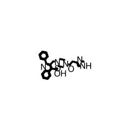 O=C(O)c1c(CN2CCN(C(=O)Cc3c[nH]cn3)CC2)c(-c2ccccc2)nc2ccccc12